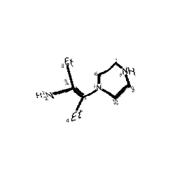 CC/C(N)=C(/CC)N1CCNCC1